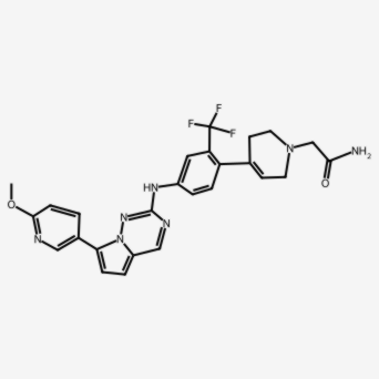 COc1ccc(-c2ccc3cnc(Nc4ccc(C5=CCN(CC(N)=O)CC5)c(C(F)(F)F)c4)nn23)cn1